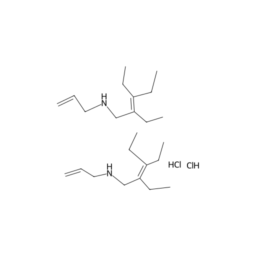 C=CCNCC(CC)=C(CC)CC.C=CCNCC(CC)=C(CC)CC.Cl.Cl